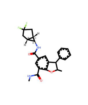 CNC(=O)c1cc(C(=O)N[C@H]2[C@@H]3CC(F)(F)C[C@@H]32)cc2c1OC(C)C2c1ccccc1